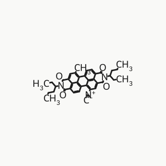 [C-]#[N+]c1cc2c3c(ccc4c5c(C)cc6c7c(ccc(c1c34)c75)C(=O)N(C(CC)CCC)C6=O)C(=O)N(C(CC)CCC)C2=O